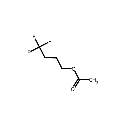 CC(=O)OCCCC(F)(F)F